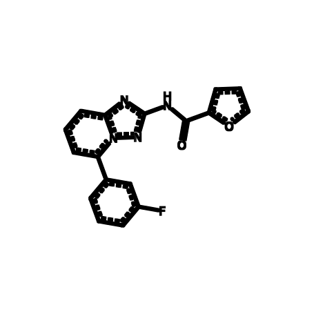 O=C(Nc1nc2cccc(-c3cccc(F)c3)n2n1)c1ccco1